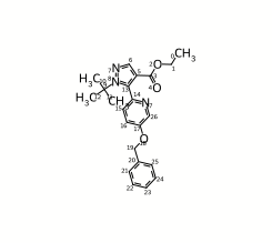 CCOC(=O)c1cnn(C(C)(C)C)c1-c1ccc(OCc2ccccc2)cn1